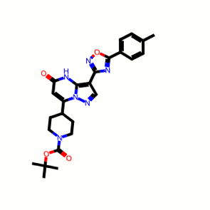 Cc1ccc(-c2nc(-c3cnn4c(C5CCN(C(=O)OC(C)(C)C)CC5)cc(=O)[nH]c34)no2)cc1